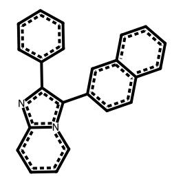 c1ccc(-c2nc3ccccn3c2-c2ccc3ccccc3c2)cc1